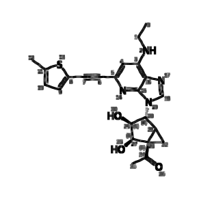 CCNc1cc(C#Cc2ccc(C)s2)nc2c1ncn2[C@@H]1C2C[C@]2(C(C)=O)[C@@H](O)[C@H]1O